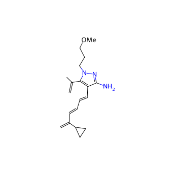 C=C(C)c1c(/C=C/C=C/C(=C)C2CC2)c(N)nn1CCCOC